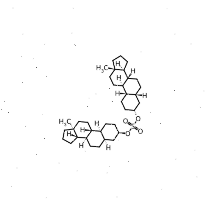 C[C@@]12CCC[C@H]1[C@@H]1CC[C@@H]3C[C@H](OS(=O)(=O)O[C@@H]4CC[C@H]5[C@H](CC[C@@H]6[C@@H]5CC[C@]5(C)CCC[C@@H]65)C4)CC[C@@H]3[C@H]1CC2